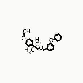 C#COc1ccc(C(C)(C)COCc2cccc(Oc3ccccc3)c2)cc1